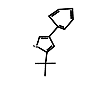 CC(C)(C)c1cc(-c2ccccc2)c[se]1